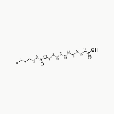 CCCCCCC(=O)OCCCCCCCCCCC(=O)O